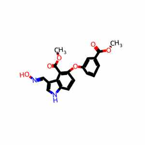 COC(=O)c1cccc(Oc2ccc3[nH]cc(C=NO)c3c2C(=O)OC)c1